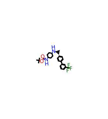 CC(C)(C)OC(=O)N[C@H]1CC[C@H](N[C@H]2C[C@@H]2c2ccc(-c3cccc(C(F)(F)F)c3)cc2)CC1